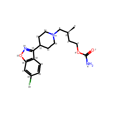 C[C@@H](CCOC(N)=O)CN1CCC(c2noc3cc(F)ccc23)CC1